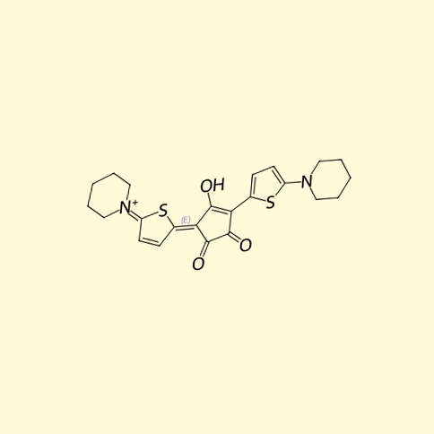 O=C1C(=O)/C(=C2\C=CC(=[N+]3CCCCC3)S2)C(O)=C1c1ccc(N2CCCCC2)s1